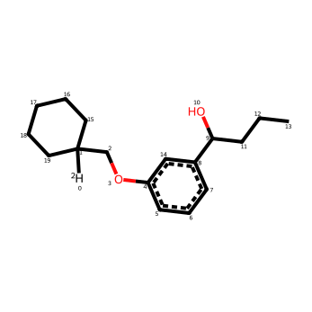 [2H]C1(COc2cccc(C(O)CCC)c2)CCCCC1